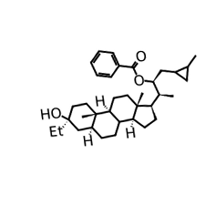 CC[C@]1(O)CC[C@@]2(C)[C@@H](CCC3[C@@H]2CC[C@]2(C)[C@@H]([C@H](C)[C@H](CC4CC4C)OC(=O)c4ccccc4)CC[C@@H]32)C1